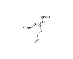 C=CCO[SiH](OCCCCC)OCCCCC